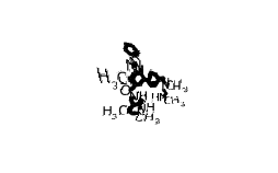 CNCCN(C)Cc1ccc(-c2cc(C(=O)NCc3c(C)cc(C)[nH]c3=O)c(C)c3nn(C4CCCC4)cc23)cc1